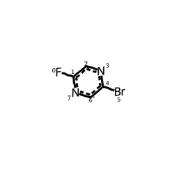 Fc1cnc(Br)[c]n1